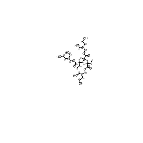 CCC(C)(CC(C)(CC(C)(CC)C(=O)OCN(CO)CCO)C(=O)OCN(CO)CCO)C(=O)OCN(CO)CCO